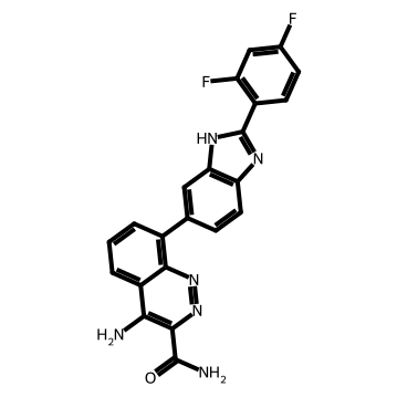 NC(=O)c1nnc2c(-c3ccc4nc(-c5ccc(F)cc5F)[nH]c4c3)cccc2c1N